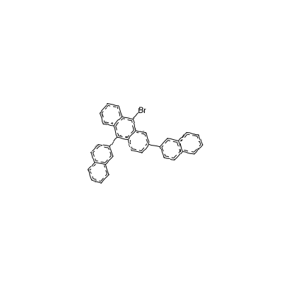 Brc1c2ccccc2c(-c2ccc3ccccc3c2)c2ccc(-c3ccc4ccccc4c3)cc12